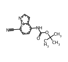 CC(C)(C)OC(=O)Nc1ccc(C#N)n2nccc12